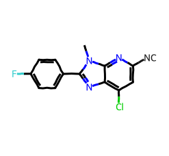 [C-]#[N+]c1cc(Cl)c2nc(-c3ccc(F)cc3)n(C)c2n1